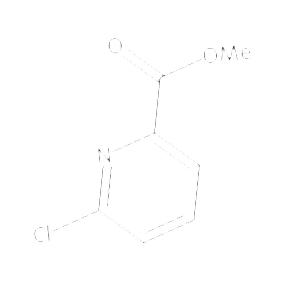 COC(=O)c1cc[c]c(Cl)n1